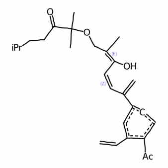 C=Cc1cc(C(=C)/C=C\C(O)=C(\C)COC(C)(C)C(=O)CCC(C)C)ccc1C(C)=O